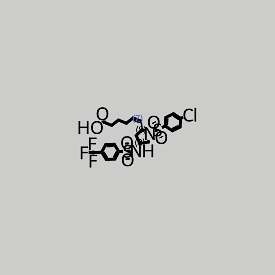 O=C(O)CCC/C=C\[C@@H]1C[C@@H](NS(=O)(=O)c2ccc(C(F)(F)F)cc2)CN1S(=O)(=O)c1ccc(Cl)cc1